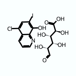 O=C[C@H](O)[C@@H](O)[C@H](O)[C@H](O)C(=O)O.Oc1c(I)cc(Cl)c2cccnc12